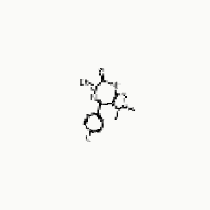 CC[C@@H]1N=C(c2ccc(Cl)cc2)c2c(sc(C)c2C)NC1=O